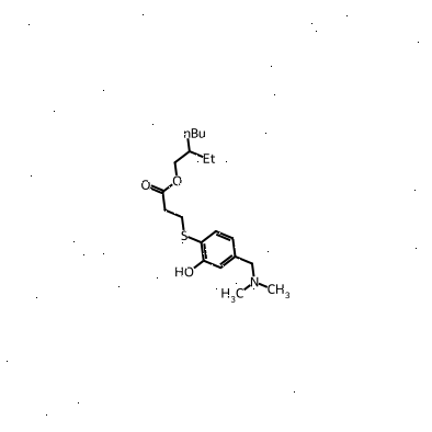 CCCCC(CC)COC(=O)CCSc1ccc(CN(C)C)cc1O